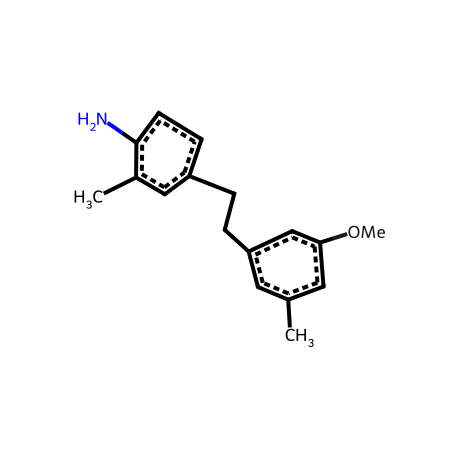 COc1cc(C)cc(CCc2ccc(N)c(C)c2)c1